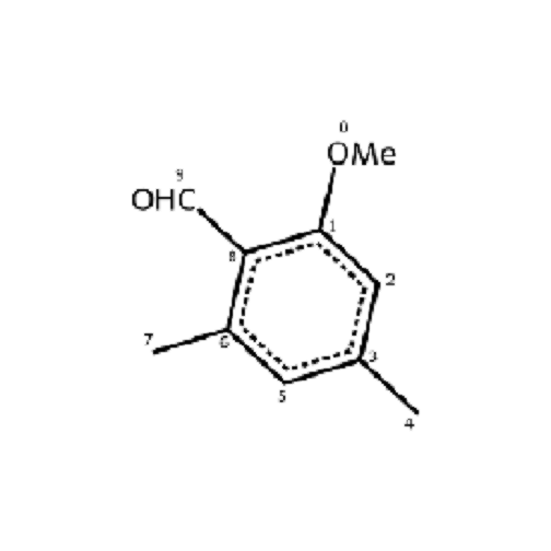 COc1cc(C)cc(C)c1C=O